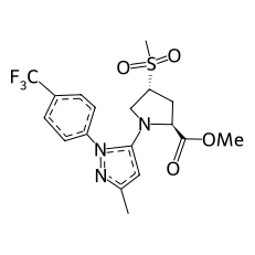 COC(=O)[C@@H]1C[C@@H](S(C)(=O)=O)CN1c1cc(C)nn1-c1ccc(C(F)(F)F)cc1